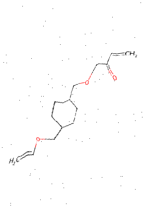 C=COCC1CCC(COCC(=O)C=C)CC1